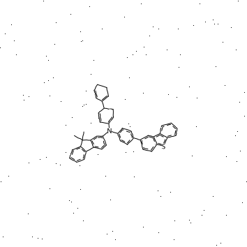 CC1(C)c2ccccc2-c2ccc(N(C3=CCC(C4=CCCC=C4)C=C3)c3ccc(-c4ccc5sc6ccccc6c5c4)cc3)cc21